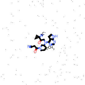 [C-]#[N+]C1(C(=O)CN(c2ncnc3[nH]ccc23)C2CN(C(=O)CC#N)CC[C@H]2C)CC1